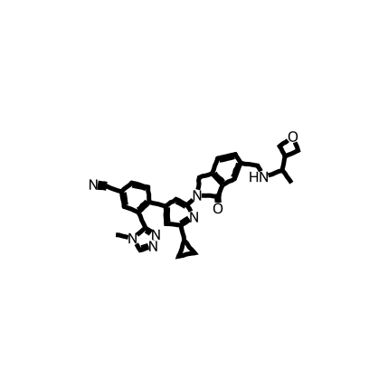 CC(NCc1ccc2c(c1)C(=O)N(c1cc(-c3ccc(C#N)cc3-c3nncn3C)cc(C3CC3)n1)C2)C1COC1